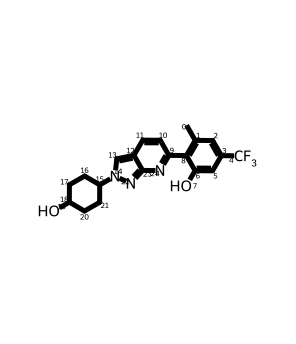 Cc1cc(C(F)(F)F)cc(O)c1-c1ccc2cn(C3CCC(O)CC3)nc2n1